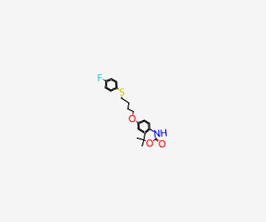 CC1(C)OC(=O)Nc2ccc(OCCCCSc3ccc(F)cc3)cc21